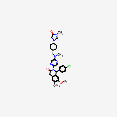 COc1cc2c(cc1OC(C)C)C(c1ccc(Cl)cc1)N(c1cnc(N(C)C[C@H]3CC[C@H](N4CC(=O)N(C)C4)CC3)cn1)C(=O)C2